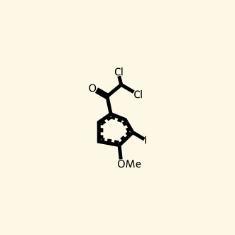 COc1ccc(C(=O)C(Cl)Cl)cc1I